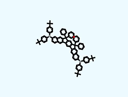 CC(C)(C)c1ccc(N(c2ccc(C(C)(C)C)cc2)c2ccc3cc4c(cc3c2)C(c2ccccc2)(c2ccccc2)c2cc3c(cc2-4)-c2cc4ccc(N(c5ccc(C(C)(C)C)cc5)c5ccc(C(C)(C)C)cc5)cc4cc2C3(c2ccccc2)c2ccccc2)cc1